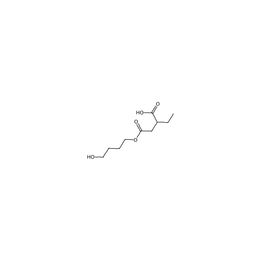 CCC(CC(=O)OCCCCO)C(=O)O